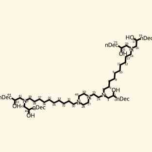 CCCCCCCCCCC(O)CN(CCCCCCCCCCN(CC(O)CCCCCCCCCC)CC(O)CCCCCCCCCC)CCN1CCN(CCCCCCCCCCN(CC(O)CCCCCCCCCC)CC(O)CCCCCCCCCC)CC1